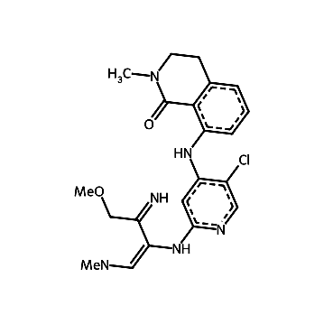 CN/C=C(/Nc1cc(Nc2cccc3c2C(=O)N(C)CC3)c(Cl)cn1)C(=N)COC